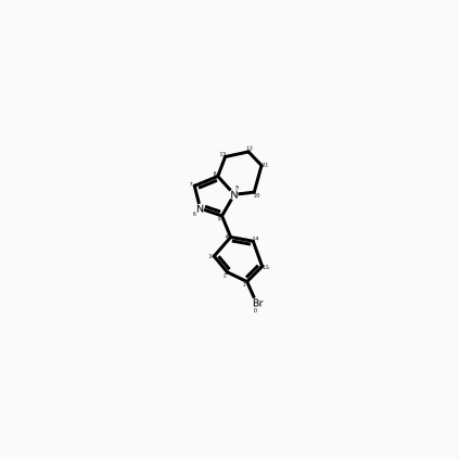 Brc1ccc(-c2ncc3n2CCCC3)cc1